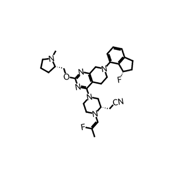 CC(F)=CN1CCN(c2nc(OC[C@@H]3CCCN3C)nc3c2CCN(c2cccc4c2[C@@H](F)CC4)C3)C[C@@H]1CC#N